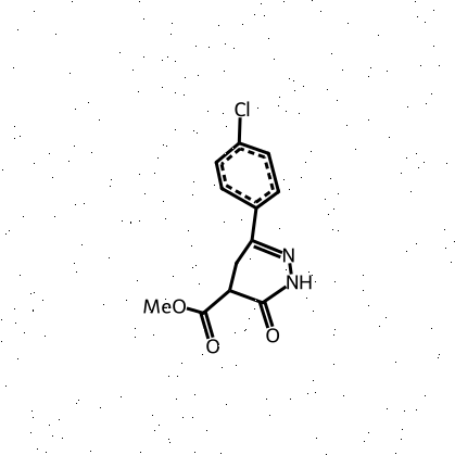 COC(=O)C1CC(c2ccc(Cl)cc2)=NNC1=O